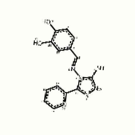 Oc1ccc(/C=N/n2c(S)nnc2-c2ccccn2)cc1O